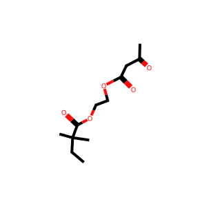 CCC(C)(C)C(=O)OCCOC(=O)CC(C)=O